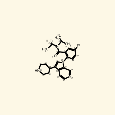 CC(C)N(C(=O)c1cc(F)ccc1-n1cc(C2CCNCC2)c2ccncc21)C(C)C